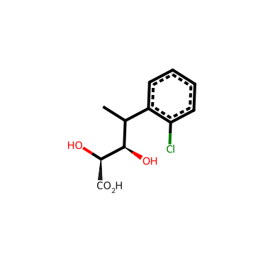 CC(c1ccccc1Cl)[C@@H](O)[C@H](O)C(=O)O